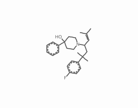 CC(C)=CC(CC(C)(C)c1ccc(F)cc1)N1CCC(O)(c2ccccc2)CC1